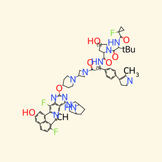 C#Cc1c(F)ccc2cc(O)cc(-c3ncc4c(N5CC6CCC(C5)N6)nc(OC5CCN(C6CN(C(=O)C[C@H](NC(=O)C7C[C@H](O)CN7C(=O)C(NC(=O)C7(F)CC7)C(C)(C)C)c7ccc(C8=C(C)N=CC8)cc7)C6)CC5)nc4c3F)c12